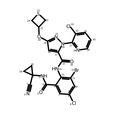 N#CC1(NC(=O)c2cc(Cl)cc(Br)c2NC(=O)c2cc(OC3CSC3)nn2-c2ncccc2Cl)CC1